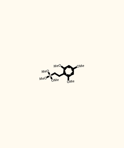 COc1cc(OC)c(CC[Si](OC)(OC)OC)c(OC)c1